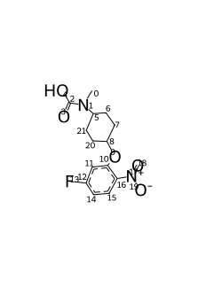 CN(C(=O)O)C1CCC(Oc2cc(F)ccc2[N+](=O)[O-])CC1